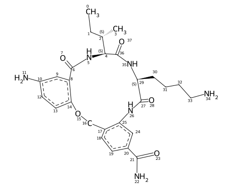 CC[C@H](C)[C@@H]1NC(=O)c2cc(N)ccc2OCc2ccc(C(N)=O)cc2NC(=O)[C@H](CCCCN)NC1=O